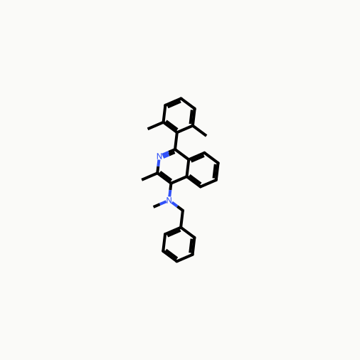 Cc1cccc(C)c1-c1nc(C)c(N(C)Cc2ccccc2)c2ccccc12